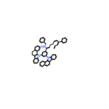 C=C/C=C(\C=C/CC/C=C(\NCc1ccccc1)c1cc(-n2c3c(c4ccccc42)CCc2ccccc2-3)cc(-n2c3ccccc3c3ccc4ccccc4c32)c1)c1ccccc1